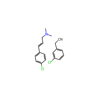 CN(C)CC=Cc1ccc(Cl)cc1.N#CCc1cccc(Cl)c1